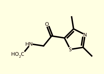 Cc1nc(C)c(C(=O)CNC(=O)O)s1